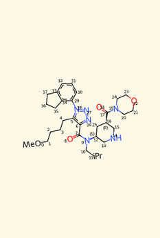 COCCCCc1c(C(=O)N(CC(C)C)[C@@H]2CNC[C@H](C(=O)N3CCOCC3)C2)nnn1-c1cccc2c1CCC2